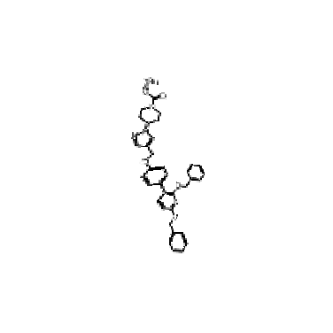 CC(C)(C)OC(=O)N1CCC(n2cc(COc3ccc(-c4ccc(OCc5ccccc5)nc4OCc4ccccc4)cc3)cn2)CC1